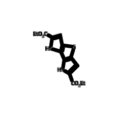 CCOC(=O)c1cc2sc3cc(C(=O)OCC)[nH]c3c2[nH]1